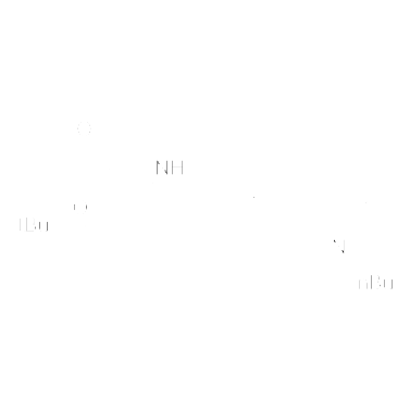 CCCCN(C)CCCNC(=O)OC(C)(C)C